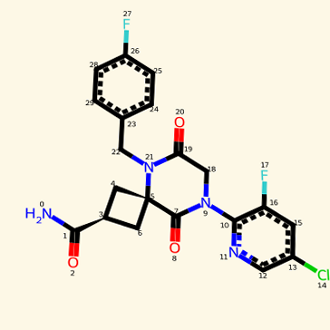 NC(=O)[C@H]1C[C@]2(C1)C(=O)N(c1ncc(Cl)cc1F)CC(=O)N2Cc1ccc(F)cc1